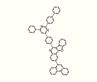 c1ccc(-c2ccc(-c3nc(-c4ccccc4)cc(-c4ccc(-c5nc6ccc(-c7cc8ccccc8c8ccccc78)cc6c6oc7ccccc7c56)cc4)n3)cc2)cc1